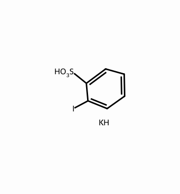 O=S(=O)(O)c1ccccc1I.[KH]